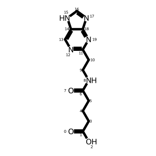 O=C(O)CCCC(=O)NCCc1ncc2[nH]cnc2n1